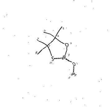 CC(C)OB1OC(C)(C)C(C)(C)S1